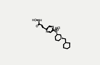 Cl.Cl.O=C(/C=C/c1cnc(N[C@@H]2CCCN(CC3CCCCC3)C2)cn1)NO